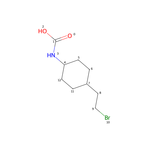 O=C(O)NC1CCC(CCBr)CC1